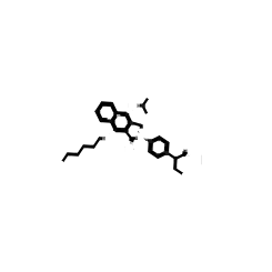 CCCCCCOc1c2c(c(OC(C)C)c3ccccc13)CN(c1ccc(C(CC)C(=O)O)cc1)C2=O